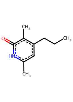 CCCc1cc(C)[nH]c(=O)c1C